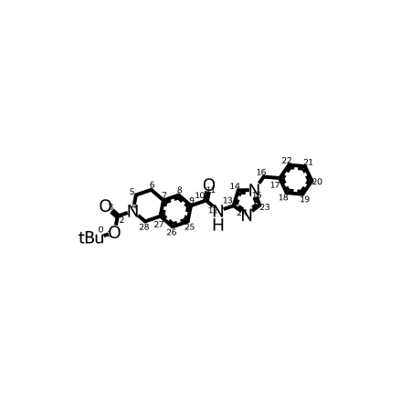 CC(C)(C)OC(=O)N1CCc2cc(C(=O)Nc3cn(Cc4ccccc4)cn3)ccc2C1